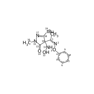 CC(=NOc1ccccc1)C1(NO)C(=O)N(C)N=C1C(C)(C)C